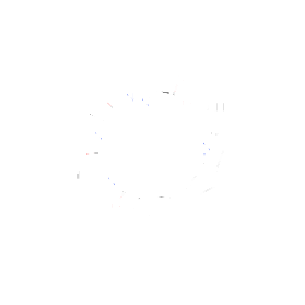 CC(C)C1NC(=O)C(C)(C)/C=C/c2ccc3ccc(nc3c2)[C@@H](C)OC(=O)[C@@H]2CCCN(N2)C(=O)[C@H](CO)NC1=O